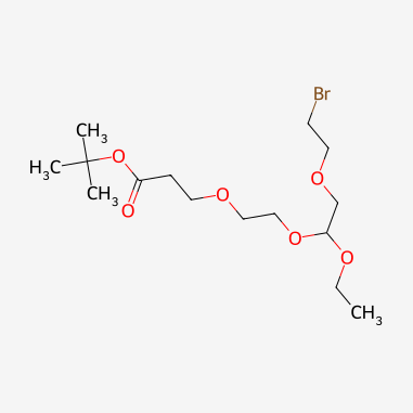 CCOC(COCCBr)OCCOCCC(=O)OC(C)(C)C